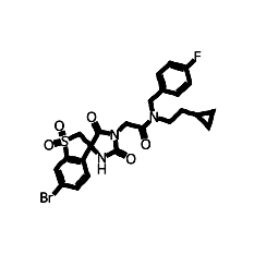 O=C(CN1C(=O)NC2(CS(=O)(=O)c3cc(Br)ccc32)C1=O)N(CCC1CC1)Cc1ccc(F)cc1